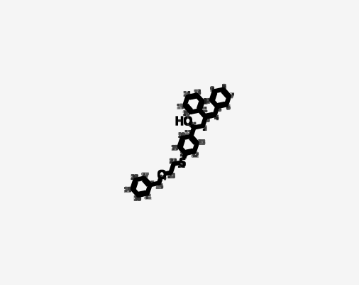 OC(CC(=Cc1ccccc1)c1ccccc1)c1ccc(SCCOCc2ccccc2)cc1